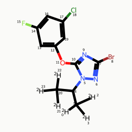 [2H]C([2H])([2H])C(n1nc(Br)nc1Oc1cc(F)cc(Cl)c1)C([2H])([2H])[2H]